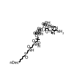 CCCCCCCCCCCCCCC(=O)SCCNC(=O)CCNC(=O)[C@H](O)C(C)(C)COP(=O)(O)OP(=O)(O)OC[C@H]1O[C@@H](n2cnc3c(N)ncnc32)[C@H](O)[C@@H]1OP(=O)(O)O